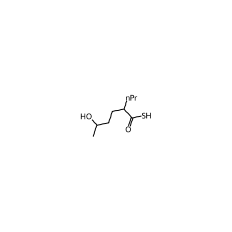 CCCC(CCC(C)O)C(=O)S